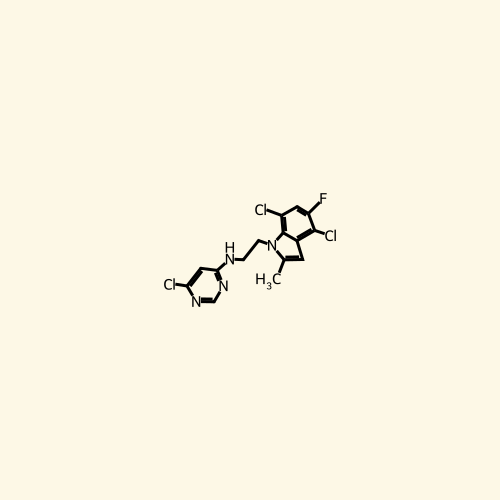 Cc1cc2c(Cl)c(F)cc(Cl)c2n1CCNc1cc(Cl)ncn1